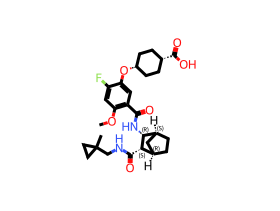 COc1cc(F)c(O[C@H]2CC[C@@H](C(=O)O)CC2)cc1C(=O)N[C@@H]1[C@H]2CC[C@H](C2)[C@@H]1C(=O)NCC1(C)CC1